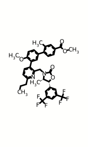 CCCc1ccc(-c2cc(-c3ccc(C(=O)OC)cc3C)ccc2OC)c(CN2C(=O)O[C@H](c3cc(C(F)(F)F)cc(C(F)(F)F)c3)[C@@H]2C)n1